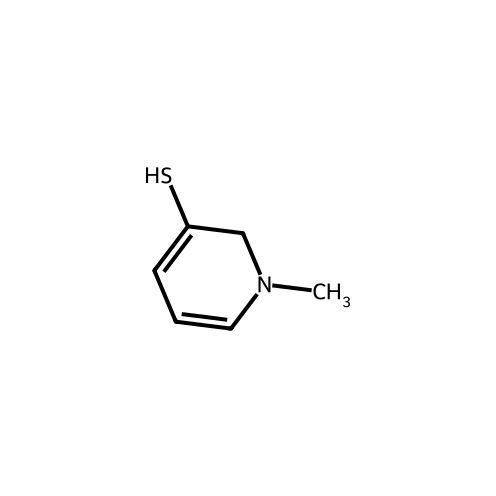 CN1C=CC=C(S)C1